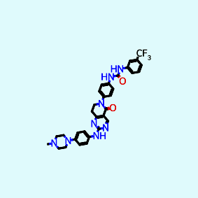 CN1CCN(c2ccc(Nc3ncc4c(n3)CCN(c3ccc(NC(=O)Nc5cccc(C(F)(F)F)c5)cc3)C4=O)cc2)CC1